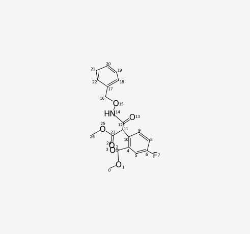 COC(=O)c1cc(F)ccc1C(C(=O)NOCc1ccccc1)C(=O)OC